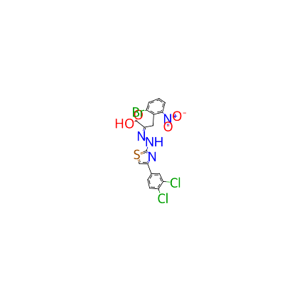 O=C(O)/C(Cc1c(Br)cccc1[N+](=O)[O-])=N/Nc1nc(-c2ccc(Cl)c(Cl)c2)cs1